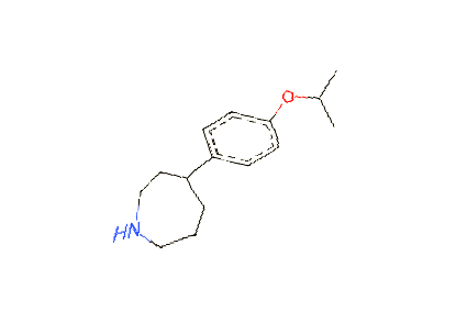 CC(C)Oc1ccc(C2CCCNCC2)cc1